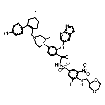 C[C@@H]1CCC(CN2CCN(c3ccc(C(=O)NS(=O)(=O)c4cc(F)c(NCC5COCCO5)c([N+](=O)[O-])c4)c(Oc4cnc5[nH]ccc5c4)c3)[C@H](C)C2)=C(c2ccc(Cl)cc2)C1